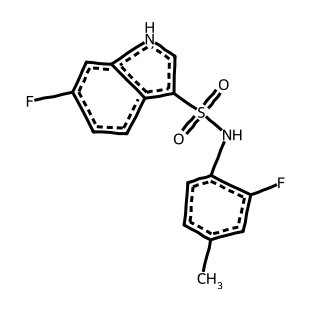 Cc1ccc(NS(=O)(=O)c2c[nH]c3cc(F)ccc23)c(F)c1